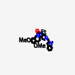 CCN1C(=O)N2Cc3cc(OC)cc(OC)c3[C@H](C)C=C2C12CCN(Cc1cc3ccccc3n1C)CC2